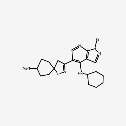 CCn1ncc2c(NC3CCCCC3)c(C3=NOC4(CCC(NC)CC4)C3)cnc21